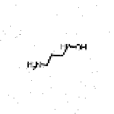 NCCCPO